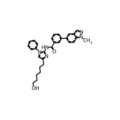 Cn1ncc2cc(-c3cccc(C(=O)Nc4nc(CCCCCCO)cn4-c4ccccc4)c3)ccc21